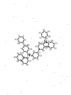 c1ccc(-c2ccc(N(c3cccc(-c4ccc5c(c4)c4ccccc4n5-c4ccccc4)c3)c3cccc4ccccc34)cc2)cc1